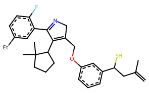 C=C(C)CC(S)c1cccc(OCC2=C(C3CCCC3(C)C)C(c3cc(CC)ccc3F)=NC2)c1